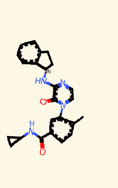 Cc1ccc(C(=O)NC2CC2)cc1-n1ccnc(N[C@@H]2CCc3ccccc32)c1=O